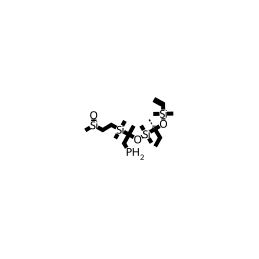 C=C[Si](C)(C)O[C@@](C)(CC)[Si](C)(C)OC(C)(CP)[Si](C)(C)CC[Si](C)=O